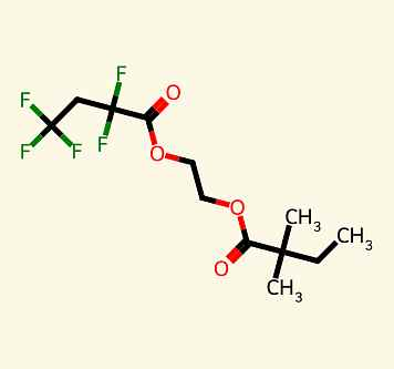 CCC(C)(C)C(=O)OCCOC(=O)C(F)(F)CC(F)(F)F